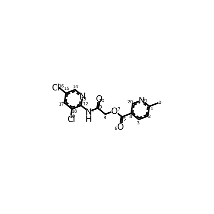 Cc1ccc(C(=O)OCC(=O)Nc2ncc(Cl)cc2Cl)cn1